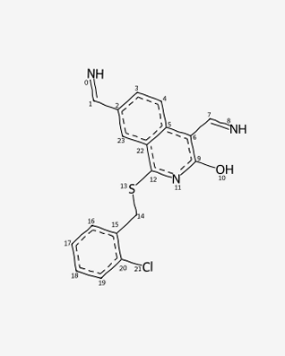 N=Cc1ccc2c(C=N)c(O)nc(SCc3ccccc3Cl)c2c1